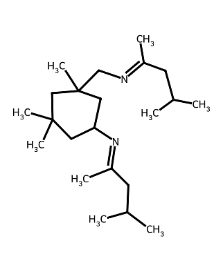 C/C(CC(C)C)=N\CC1(C)CC(/N=C(\C)CC(C)C)CC(C)(C)C1